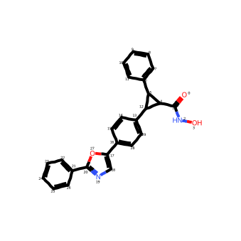 O=C(NO)C1C(c2ccccc2)C1c1ccc(-c2cnc(-c3ccccc3)o2)cc1